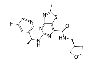 Cc1nc2nc(N[C@@H](C)c3cncc(F)c3)nc(C(=O)NC[C@H]3CCOC3)c2s1